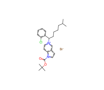 CC(C)CCCCC(c1ccccc1Cl)[n+]1ccc2c(ccn2C(=O)OC(C)(C)C)c1.[Br-]